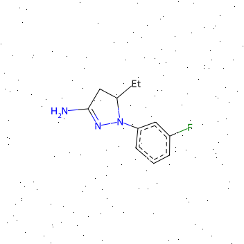 CCC1CC(N)=NN1c1cccc(F)c1